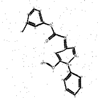 CCCOc1c/c(=N\C(=O)Oc2cccc(C)c2)cnn1-c1ccccc1